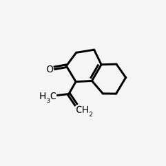 C=C(C)C1C(=O)CCC2=C1CCCC2